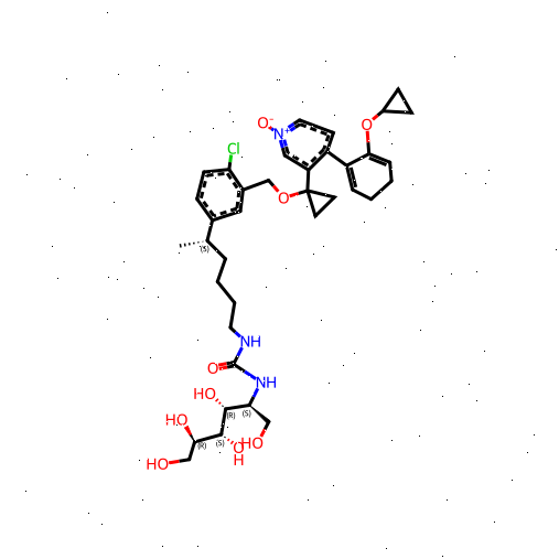 C[C@@H](CCCCNC(=O)N[C@@H](CO)[C@@H](O)[C@H](O)[C@H](O)CO)c1ccc(Cl)c(COC2(c3c[n+]([O-])ccc3C3=CCCC=C3OC3CC3)CC2)c1